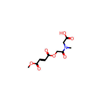 COC(=O)/C=C/C(=O)OCC(=O)N(C)CC(=O)O